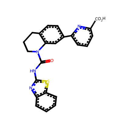 O=C(O)c1cccc(-c2ccc3c(c2)N(C(=O)Nc2nc4ccccc4s2)CCC3)n1